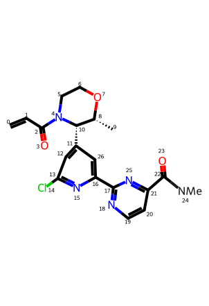 C=CC(=O)N1CCO[C@H](C)[C@@H]1c1cc(Cl)nc(-c2nccc(C(=O)NC)n2)c1